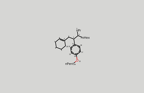 CCCCCCC(CCC)C(CC1=CCCCC1)c1ccc(OCCCCC)cc1